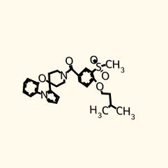 CC(C)CCOc1ccc(C(=O)N2CCC3(CC2)Oc2ccccc2-n2cccc23)cc1S(C)(=O)=O